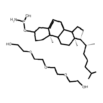 CC(C)CCC[C@@H](C)[C@H]1CCC2C3CC=C4CC(OP(N)O)CC[C@]4(C)C3CC[C@@]21C.OCCOCCOCCOCCO